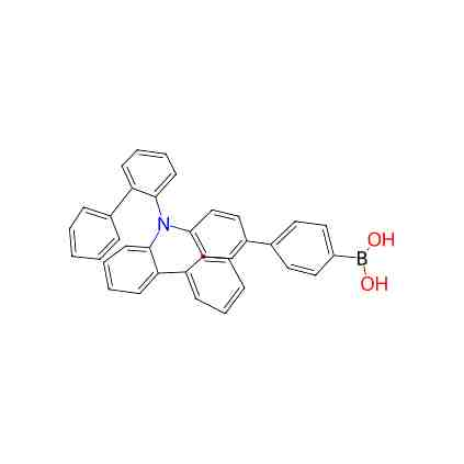 OB(O)c1ccc(-c2ccc(N(c3ccccc3-c3ccccc3)c3ccccc3-c3ccccc3)cc2)cc1